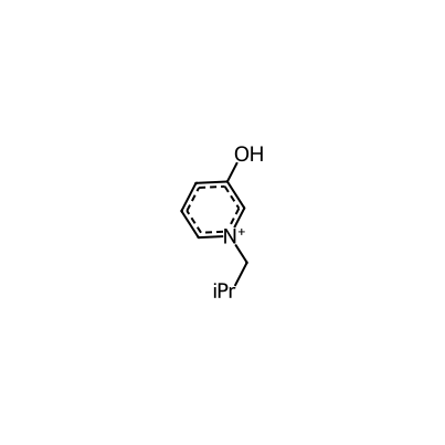 CC(C)C[n+]1cccc(O)c1